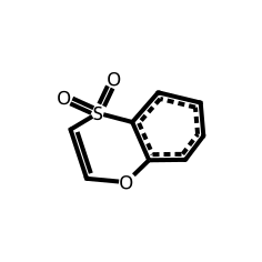 O=S1(=O)C=COc2ccccc21